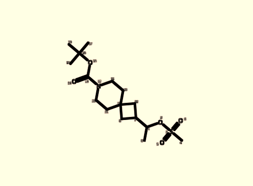 CC(OS(C)(=O)=O)C1CC2(CCN(C(=O)OC(C)(C)C)CC2)C1